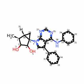 C[C@@H]1C(O)C(O)[C@@]2(n3cc(-c4ccccc4)c4c(Nc5ccccc5)ncnc43)C[C@@H]12